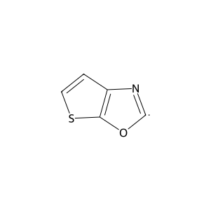 [c]1nc2ccsc2o1